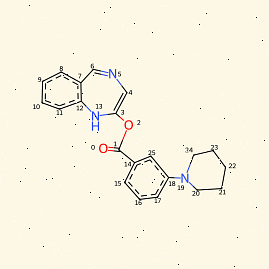 O=C(OC1=CN=Cc2ccccc2N1)c1cccc(N2CCCCC2)c1